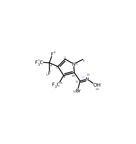 Cn1cc(C(F)(F)C(F)(F)F)c(C(F)(F)F)c1/C(Br)=N/O